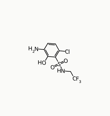 Nc1ccc(Cl)c(S(=O)(=O)NCC(F)(F)F)c1O